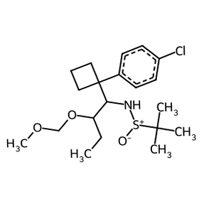 CCC(OCOC)C(N[S+]([O-])C(C)(C)C)C1(c2ccc(Cl)cc2)CCC1